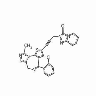 Cc1nnc2n1-c1sc(C#CCn3nc4ccccn4c3=O)cc1C(c1ccccc1Cl)=NC2